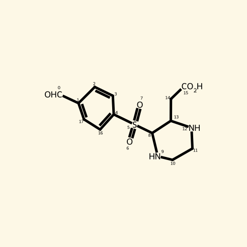 O=Cc1ccc(S(=O)(=O)C2NCCNC2CC(=O)O)cc1